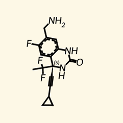 CC(F)(F)[C@@]1(C#CC2CC2)NC(=O)Nc2cc(CN)c(F)cc21